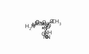 COCCC(=O)N[C@@H](CC(=O)NC[C@@H]1CCCN(C=NN)C1)C(=O)N(CCNC(=O)c1cnccn1)C1CC1